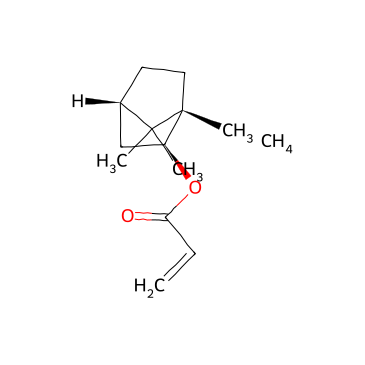 C.C=CC(=O)O[C@H]1C[C@@H]2CC[C@@]1(C)C2(C)C